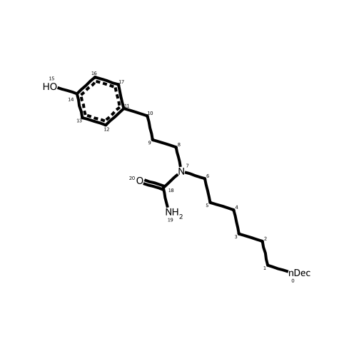 CCCCCCCCCCCCCCCCN(CCCc1ccc(O)cc1)C(N)=O